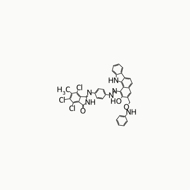 Cc1c(Cl)c(Cl)c2c(c1Cl)/C(=N/c1ccc(N=Nc3c(O)c(CONc4ccccc4)cc4ccc5c6ccccc6[nH]c5c34)cc1)NC2=O